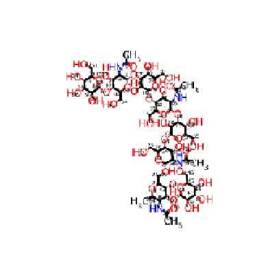 CC(=O)NC1[C@H](O[C@@H]2C(O)[C@H](O[C@@H]3C(CO)O[C@@H](O[C@@H]4C(O)[C@H](O[C@@H]5C(CO)O[C@@H](OCC6OC(C)C(NC(C)=O)[C@@H](O[C@@H]7OC(CO)[C@H](O)[C@H](O)C7O)[C@H]6O)C(NC(C)=O)[C@H]5O)OC(CO)[C@@H]4O)C(NC(C)=O)[C@H]3O)OC(CO)[C@@H]2O)OC(CO)[C@@H](O[C@@H]2OC(CO)[C@H](O)[C@H](O)C2O)[C@@H]1O